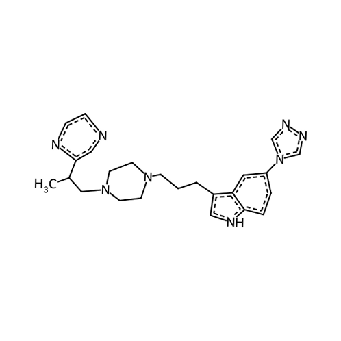 CC(CN1CCN(CCCc2c[nH]c3ccc(-n4cnnc4)cc23)CC1)c1cnccn1